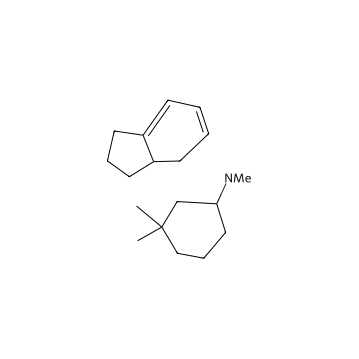 C1=CCC2CCCC2=C1.CNC1CCCC(C)(C)C1